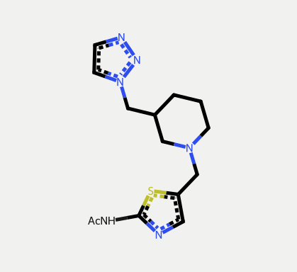 CC(=O)Nc1ncc(CN2CCCC(Cn3ccnn3)C2)s1